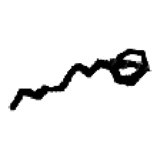 CCCCCCCC[N+]12CCN(CC1)CC2